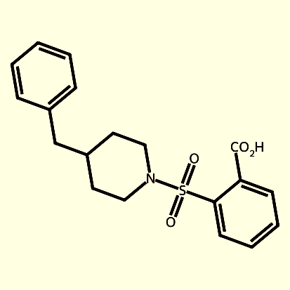 O=C(O)c1ccccc1S(=O)(=O)N1CCC(Cc2ccccc2)CC1